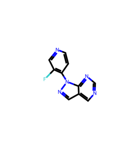 Fc1cnccc1-n1ncc2cncnc21